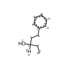 [2H]C(O)(CF)CCc1ccccc1